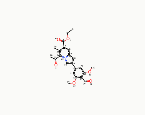 CCOC(=O)c1cc2cc(-c3cc(OC)c(C=O)c(OC)c3)cn2c(C(C)=O)c1C